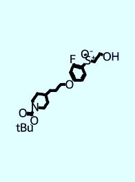 CC(C)(C)OC(=O)N1CCC(CCCOc2ccc([S+]([O-])CCO)c(F)c2)CC1